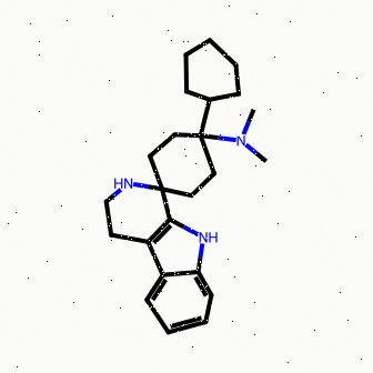 CN(C)C1(C2CCCCC2)CCC2(CC1)NCCc1c2[nH]c2ccccc12